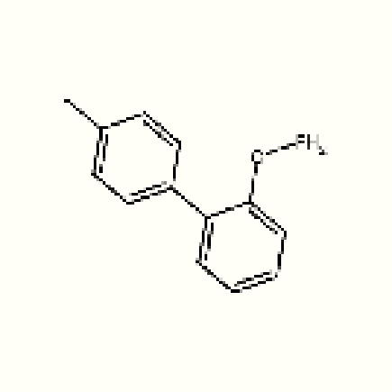 Cc1ccc(-c2ccccc2OP)cc1